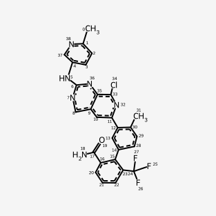 Cc1ccc(Nc2ncc3cc(-c4cc(-c5c(C(N)=O)cccc5C(F)(F)F)ccc4C)nc(Cl)c3n2)cn1